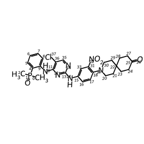 CP(C)(=O)c1ccccc1Nc1nc(Nc2ccc(N3CCC4(CCC(=O)CC4)CC3)c([N+](=O)[O-])c2)ncc1Cl